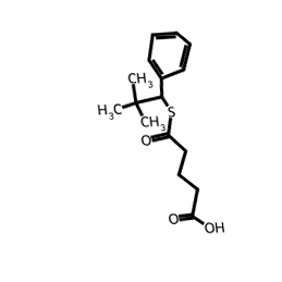 CC(C)(C)C(SC(=O)CCCC(=O)O)c1ccccc1